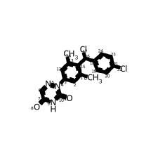 Cc1cc(-n2ncc(=O)[nH]c2=O)cc(C)c1C(Cl)c1ccc(Cl)cc1